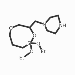 CCO[Si]1(OCC)CCCOCC(CN2CCNCC2)O1